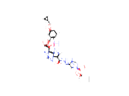 CCOC(=O)N1CCC(CNC(=O)c2c[nH]c3c(C4=COC(c5cccc(OCC6CC6)c5)O4)ncnc23)C1